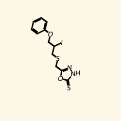 S=c1[nH]nc(CSCC(I)COc2ccccc2)o1